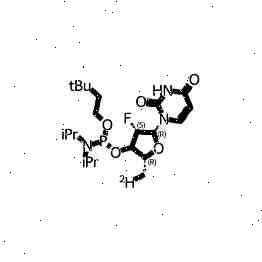 [2H]C[C@H]1O[C@@H](n2ccc(=O)[nH]c2=O)[C@@H](F)C1OP(OCCC(C)(C)C)N(C(C)C)C(C)C